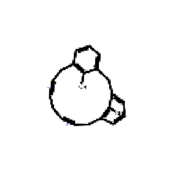 Oc1c2cccc1Cc1cccc(c1O)C/C=C\C/C=C\C2